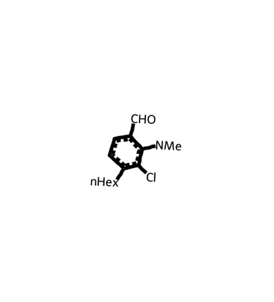 [CH2]CCCCCc1ccc(C=O)c(NC)c1Cl